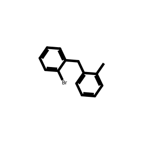 Cc1ccccc1Cc1ccccc1Br